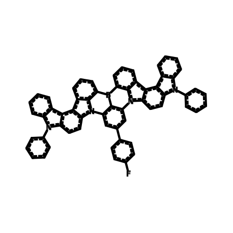 Fc1ccc(-c2cc3c4c(c2)-n2c5ccc6c(c7ccccc7n6-c6ccccc6)c5c5cccc(c52)B4c2cccc4c5c6c7ccccc7n(-c7ccccc7)c6ccc5n-3c24)cc1